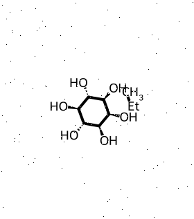 CCC.O[C@H]1[C@H](O)[C@@H](O)[C@H](O)[C@@H](O)[C@H]1O